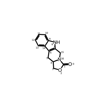 O=C1OCC2Cc3c([nH]c4ccccc34)CN12